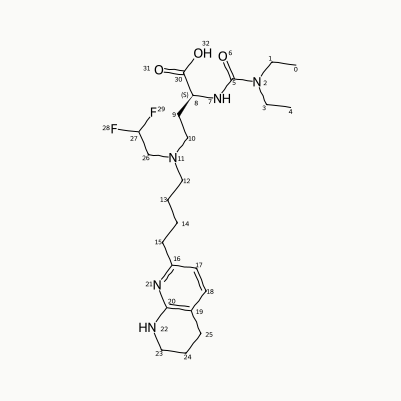 CCN(CC)C(=O)N[C@@H](CCN(CCCCc1ccc2c(n1)NCCC2)CC(F)F)C(=O)O